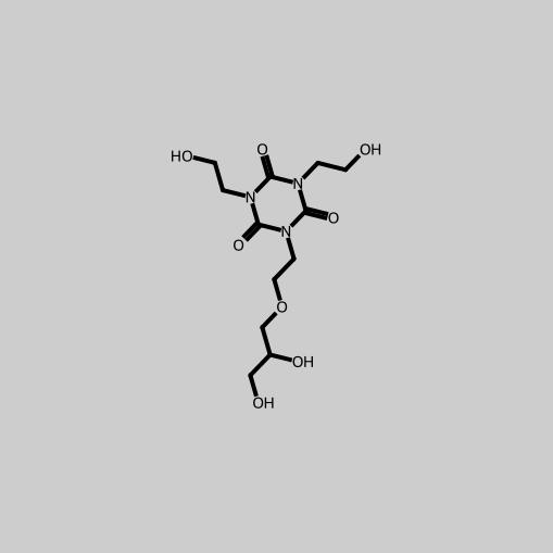 O=c1n(CCO)c(=O)n(CCOCC(O)CO)c(=O)n1CCO